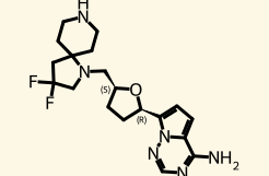 Nc1ncnn2c([C@H]3CC[C@@H](CN4CC(F)(F)CC45CCNCC5)O3)ccc12